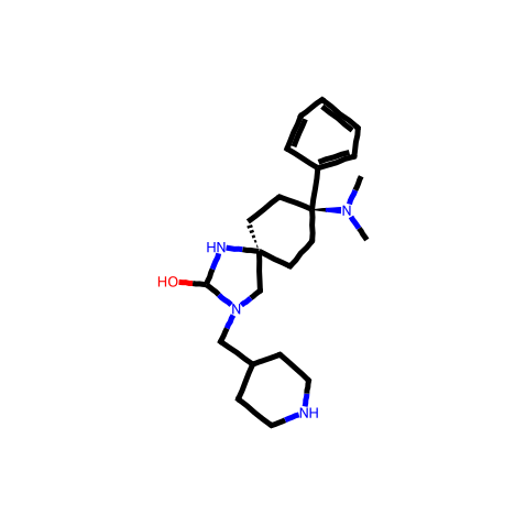 CN(C)[C@]1(c2ccccc2)CC[C@]2(CC1)CN(CC1CCNCC1)C(O)N2